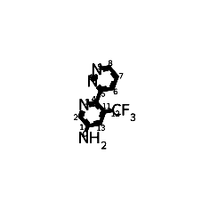 Nc1cnc(-c2cccnn2)c(C(F)(F)F)c1